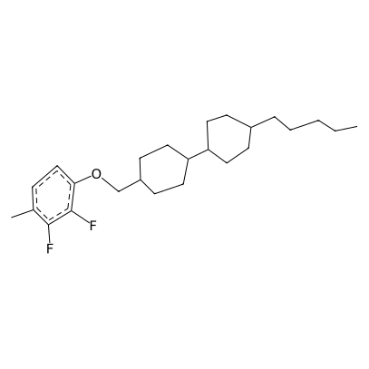 CCCCCC1CCC(C2CCC(COc3ccc(C)c(F)c3F)CC2)CC1